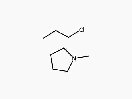 CCCCl.CN1CCCC1